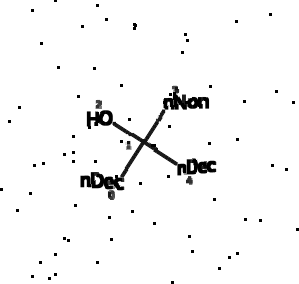 CCCCCCCCCCC(O)(CCCCCCCCC)CCCCCCCCCC